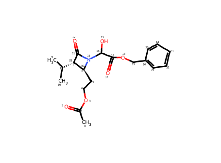 CC(=O)OCC[C@H]1[C@H](C(C)C)C(=O)N1C(O)C(=O)OCc1ccccc1